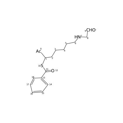 CC(=O)C(CCCCCNC[C]=O)SC(=O)c1ccccc1